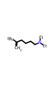 C=C(CCCCN(CC)CC)C(C)(C)C